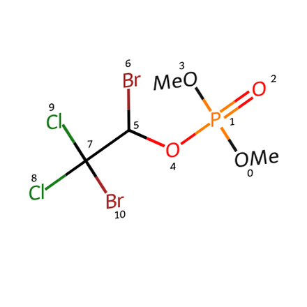 COP(=O)(OC)OC(Br)C(Cl)(Cl)Br